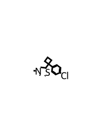 CSC(CN(C)C)C1(c2ccc(Cl)cc2)CCC1